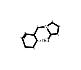 CC(C)(C)C1CCCN1CC1C=CCCC1